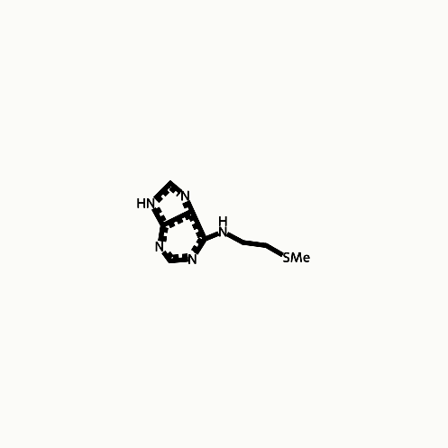 CSCCNc1ncnc2[nH]cnc12